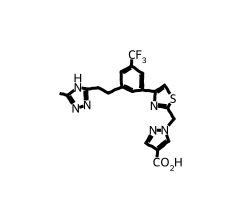 Cc1nnc(CCc2cc(-c3csc(Cn4cc(C(=O)O)cn4)n3)cc(C(F)(F)F)c2)[nH]1